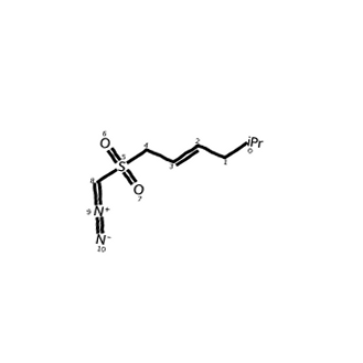 CC(C)CC=CCS(=O)(=O)C=[N+]=[N-]